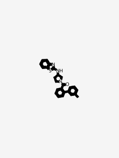 Cc1cccc(-c2ccccc2C(=O)N2CCC(Nc3nc4ccccc4s3)C2)c1